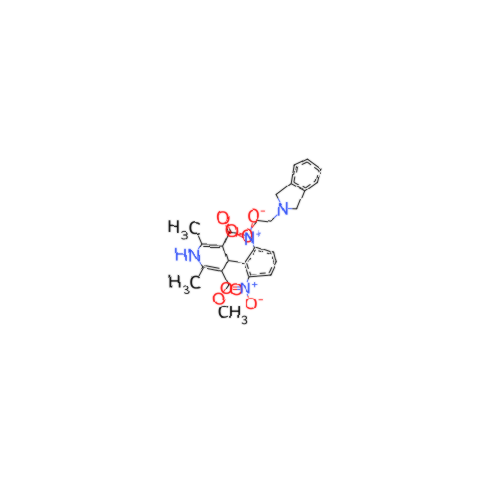 COC(=O)C1=C(C)NC(C)=C(C(=O)OCCN2Cc3ccccc3C2)C1c1c([N+](=O)[O-])cccc1[N+](=O)[O-]